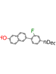 CCCCCCCCCCc1ccc(-c2ccc3cc(O)ccc3c2)c(F)c1